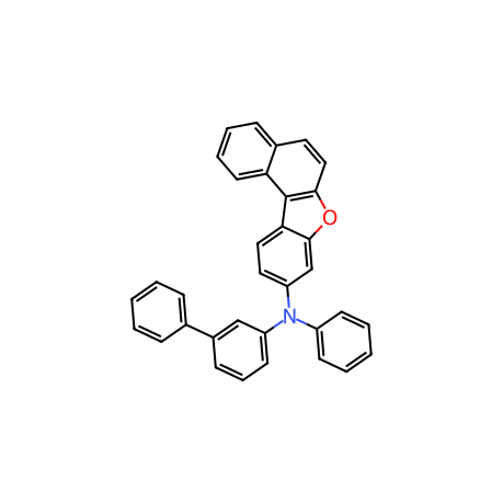 c1ccc(-c2cccc(N(c3ccccc3)c3ccc4c(c3)oc3ccc5ccccc5c34)c2)cc1